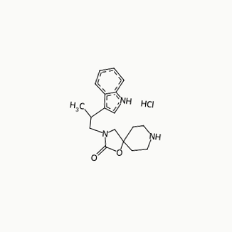 CC(CN1CC2(CCNCC2)OC1=O)c1c[nH]c2ccccc12.Cl